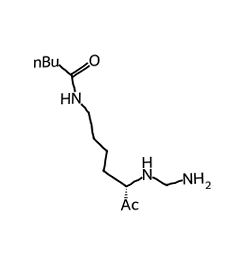 CCCCC(=O)NCCCC[C@H](NCN)C(C)=O